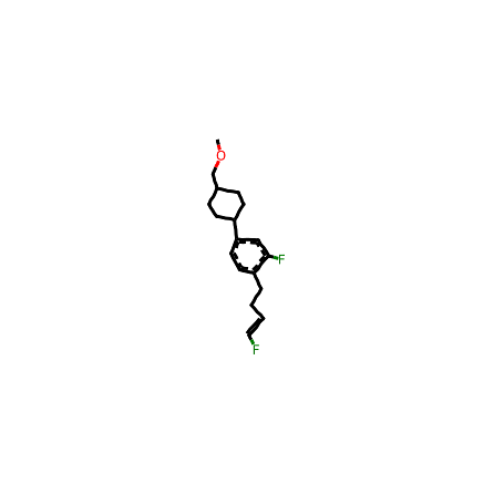 COCC1CCC(c2ccc(CC/C=C/F)c(F)c2)CC1